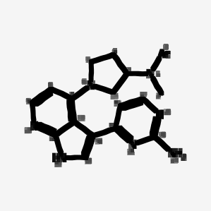 CC(=O)N(C)C1CCN(c2ccnc3[nH]cc(-c4ccnc(N)n4)c23)C1